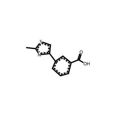 Cc1nc(-c2cccc(C(=O)O)c2)cs1